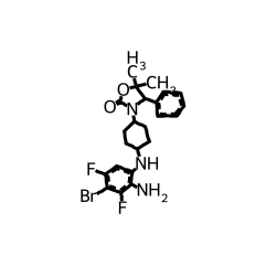 CC1(C)OC(=O)N(C2CCC(Nc3cc(F)c(Br)c(F)c3N)CC2)C1c1ccccc1